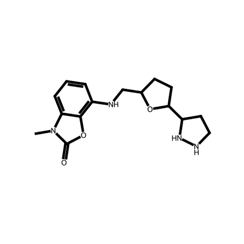 Cn1c(=O)oc2c(NCC3CCC(C4CCNN4)O3)cccc21